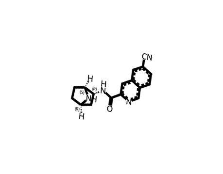 N#Cc1ccc2cnc(C(=O)N[C@@H]3C[C@H]4CC[C@@H]3N4)cc2c1